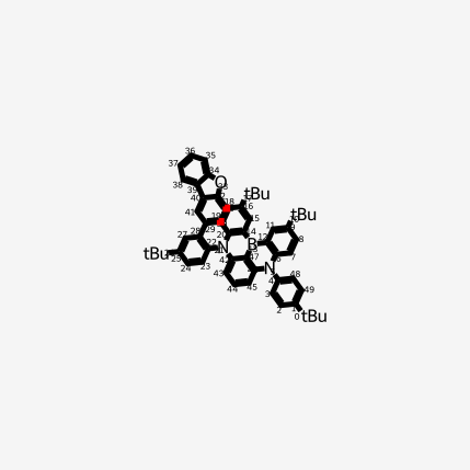 CC(C)(C)c1ccc(N2c3ccc(C(C)(C)C)cc3B3c4cc(C(C)(C)C)ccc4N(c4ccc(C(C)(C)C)cc4-c4ccc5oc6ccccc6c5c4)c4cccc2c43)cc1